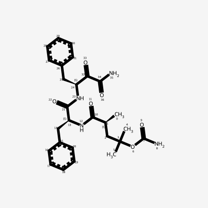 C[C@@H](CC(C)(C)OC(N)=O)C(=O)N[C@@H](Cc1ccccc1)C(=O)N[C@@H](Cc1ccccc1)C(=O)C(N)=O